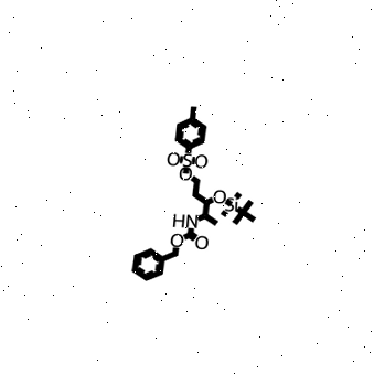 Cc1ccc(S(=O)(=O)OCCC(O[Si](C)(C)C(C)(C)C)C(C)NC(=O)OCc2ccccc2)cc1